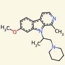 COc1ccc2c3ccnc(C)c3n(C(C)CN3CCCCC3)c2c1